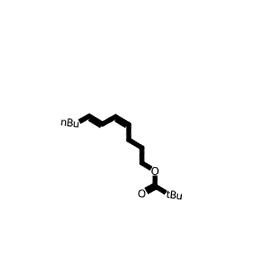 CCCC/C=C/C=C\CCCOC(=O)C(C)(C)C